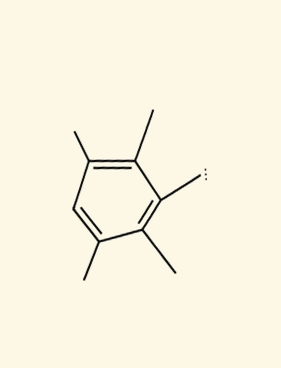 [C]c1c(C)c(C)cc(C)c1C